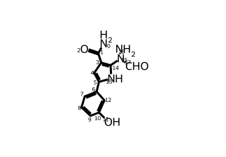 NC(=O)c1cc(-c2cccc(O)c2)[nH]c1N(N)C=O